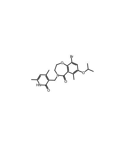 Cc1cc(C)c(CN2CCOc3c(Br)cc(OC(C)C)c(C)c3C2=O)c(=O)[nH]1